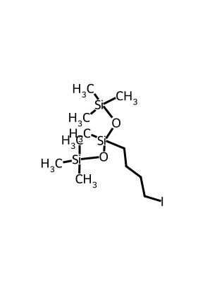 C[Si](C)(C)O[Si](C)(CCCCI)O[Si](C)(C)C